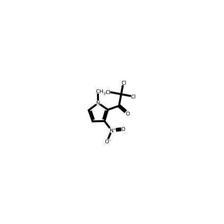 Cn1ccc([N+](=O)[O-])c1C(=O)C(Cl)(Cl)Cl